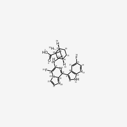 O=C(O)[C@@H]1C(Nc2nc(-c3c[nH]c4ncc(F)cc34)c3nccn3c2F)[C@H]2CC[C@@H]1CC2